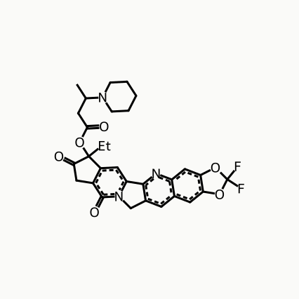 CCC1(OC(=O)CC(C)N2CCCCC2)C(=O)Cc2c1cc1n(c2=O)Cc2cc3cc4c(cc3nc2-1)OC(F)(F)O4